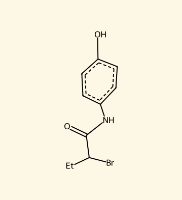 CCC(Br)C(=O)Nc1ccc(O)cc1